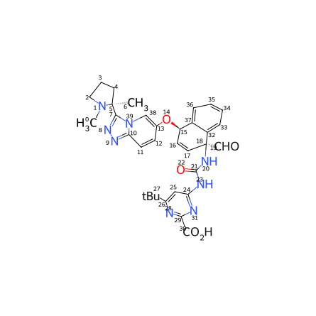 CN1CCC[C@@]1(C)c1nnc2ccc(O[C@@H]3C=C[C@](C=O)(NC(=O)Nc4cc(C(C)(C)C)nc(C(=O)O)n4)c4ccccc43)cn12